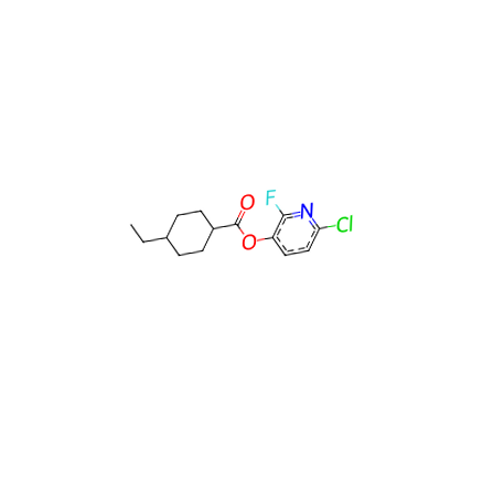 CCC1CCC(C(=O)Oc2ccc(Cl)nc2F)CC1